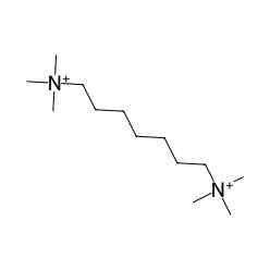 C[N+](C)(C)CCCCCCC[N+](C)(C)C